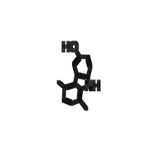 Cc1ccc(C)c2c1[nH]c1ccc(O)cc12